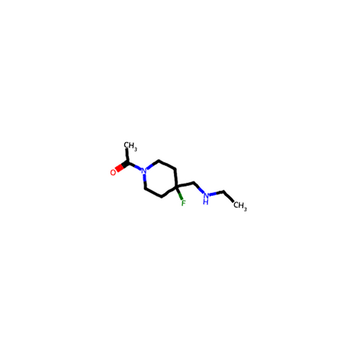 CCNCC1(F)CCN(C(C)=O)CC1